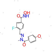 COc1ccc(C(=O)N(C)N=Cc2ccc(C(=O)NO)cc2F)cc1